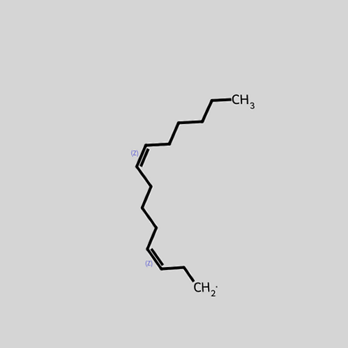 [CH2]C/C=C\CCC/C=C\CCCCC